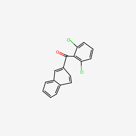 O=C(c1[c]c2ccccc2cc1)c1c(Cl)cccc1Cl